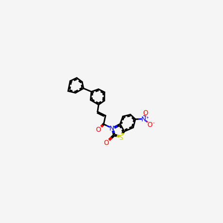 O=C(C=Cc1cccc(-c2ccccc2)c1)n1c(=O)sc2cc([N+](=O)[O-])ccc21